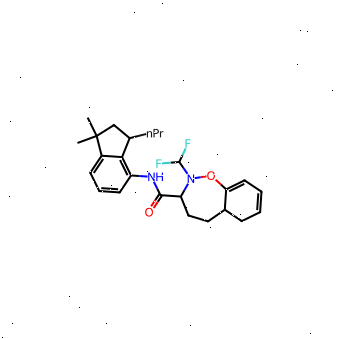 CCCC1CC(C)(C)c2cccc(NC(=O)C3CCC4CC=CC=C4ON3C(F)F)c21